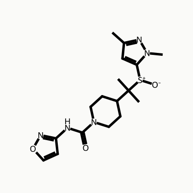 Cc1cc([S+]([O-])C(C)(C)C2CCN(C(=O)Nc3ccon3)CC2)n(C)n1